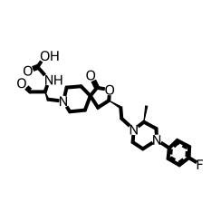 C[C@H]1CN(c2ccc(F)cc2)CCN1CC[C@H]1CC2(CCN(C[C@@H](C=O)NC(=O)O)CC2)C(=O)O1